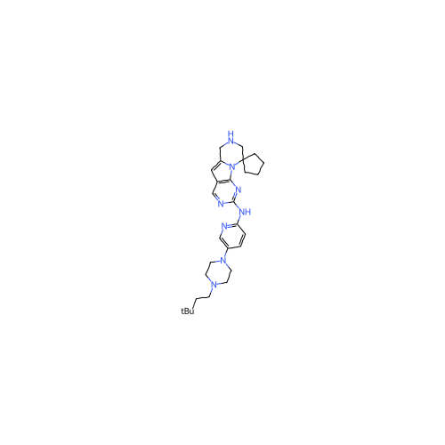 CC(C)(C)CCN1CCN(c2ccc(Nc3ncc4cc5n(c4n3)C3(CCCC3)CNC5)nc2)CC1